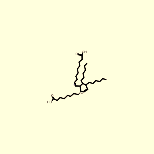 CCCCCCC1C=C[C@@H](CCCCCCCC(=O)O)C(/C=C\CCCCCCCC(=O)O)C1CCCCCC